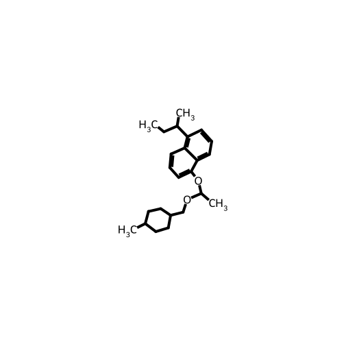 CCC(C)c1cccc2c(OC(C)OCC3CCC(C)CC3)cccc12